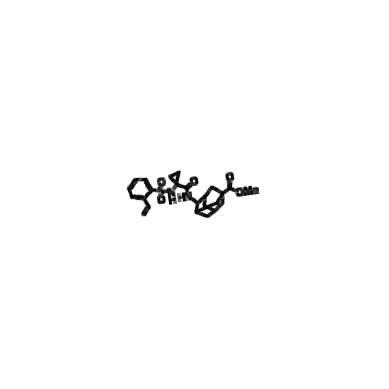 C=Cc1ccccc1S(=O)(=O)NC1(C(=O)NC2C3CC4CC2CC(C(=O)OC)(C4)C3)CC1